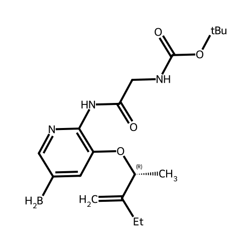 Bc1cnc(NC(=O)CNC(=O)OC(C)(C)C)c(O[C@H](C)C(=C)CC)c1